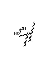 CCCCCCC(CCCC)OC(CCCC)CCCCCC.OCCO